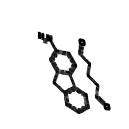 Nc1ccc2c(c1)Cc1ccccc1-2.O=CCCCC=O